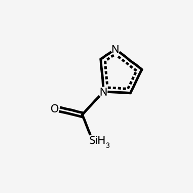 O=C([SiH3])n1ccnc1